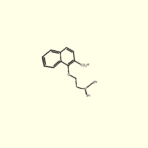 CC(C)N(CCOc1c(C(=O)O)ccc2ccccc12)C(C)C